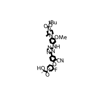 COc1cc(Nc2ncnc(-c3ccc(O[C@H]4CCN(C(=O)[C@H](C)O)C[C@H]4F)c(C#N)c3)n2)ccc1N1CCN(C(=O)OC(C)(C)C)CC1C